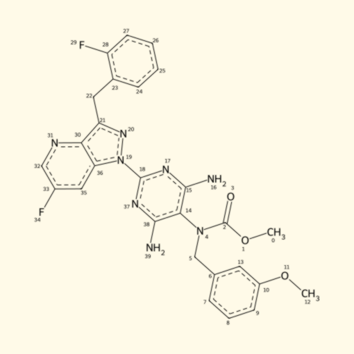 COC(=O)N(Cc1cccc(OC)c1)c1c(N)nc(-n2nc(Cc3ccccc3F)c3ncc(F)cc32)nc1N